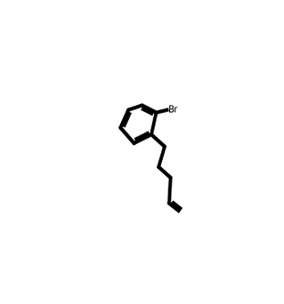 C=CCCCc1ccccc1Br